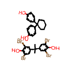 CC(C)(c1cc(Br)c(O)c(Br)c1)c1cc(Br)c(O)c(Br)c1.Oc1ccc(C2(c3ccc(O)cc3)CCCCC2)cc1